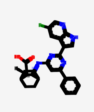 O=C(O)[C@@H]1/C(=N/c2cc(-c3ccccc3)nc(-c3c[nH]c4ncc(F)cc34)n2)C2CCC1CC2